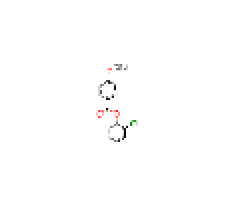 CC(C)(C)Oc1ccc(C(=O)Oc2ccccc2Cl)cc1